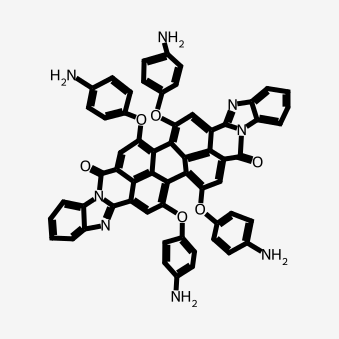 Nc1ccc(Oc2cc3c(=O)n4c5ccccc5nc4c4cc(Oc5ccc(N)cc5)c5c6c(Oc7ccc(N)cc7)cc7c(=O)n8c9ccccc9nc8c8cc(Oc9ccc(N)cc9)c(c2c5c34)c6c78)cc1